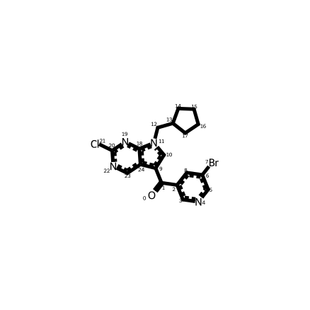 O=C(c1cncc(Br)c1)c1cn(CC2CCCC2)c2nc(Cl)ncc12